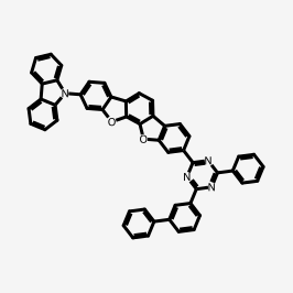 c1ccc(-c2cccc(-c3nc(-c4ccccc4)nc(-c4ccc5c(c4)oc4c5ccc5c6ccc(-n7c8ccccc8c8ccccc87)cc6oc54)n3)c2)cc1